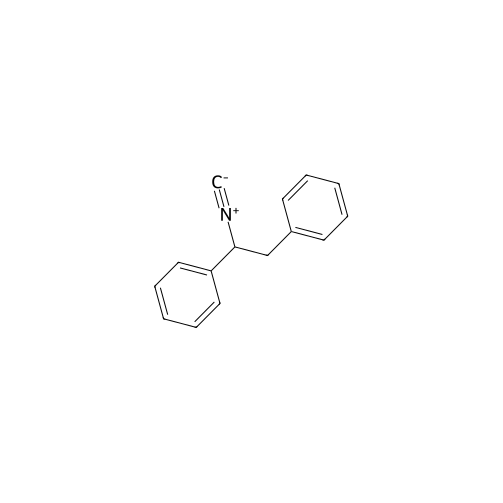 [C-]#[N+]C(Cc1ccccc1)c1ccccc1